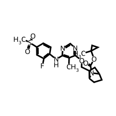 Cc1c(Nc2ccc(S(C)(=O)=O)cc2F)ncnc1OCC1CC2CCC1N2C(=O)OC1(C)CC1